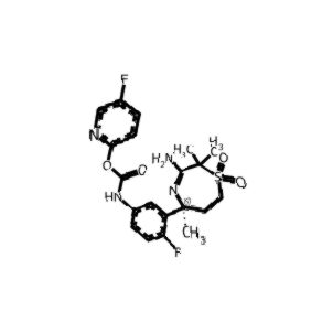 CC1(C)C(N)=N[C@](C)(c2cc(NC(=O)Oc3ccc(F)cn3)ccc2F)CCS1(=O)=O